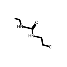 CCNC(=O)NCCCl